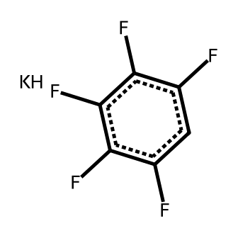 Fc1cc(F)c(F)c(F)c1F.[KH]